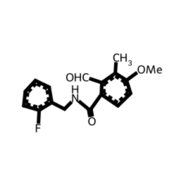 COc1ccc(C(=O)NCc2ccccc2F)c(C=O)c1C